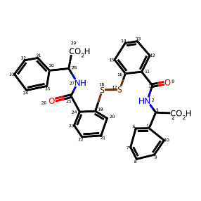 O=C(NC(C(=O)O)c1ccccc1)c1ccccc1SSc1ccccc1C(=O)NC(C(=O)O)c1ccccc1